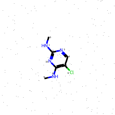 CNc1ncc(Cl)c(NC)n1